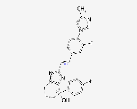 Cc1cn(-c2ccc(/C=C/c3nc4n(n3)CCC[C@]4(O)c3ccc(F)cc3)cc2F)cn1